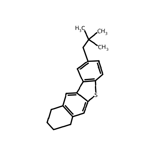 CC(C)(C)Cc1ccc2sc3cc4c(cc3c2c1)CCCC4